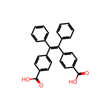 O=C(O)c1ccc(C(=C(c2ccccc2)c2ccc(C(=O)O)cc2)c2ccccc2)cc1